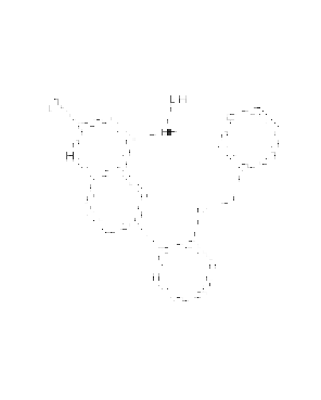 NNc1nc(N)nc2ccc(-c3ccccc3OCc3ccccc3)cc12